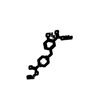 COC(=O)c1cc(CN2CCN(C(=O)OC(C)(C)C)CC2)ccc1C